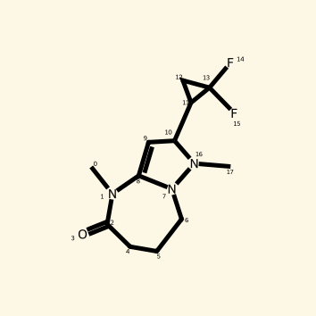 CN1C(=O)CCCN2C1=CC(C1CC1(F)F)N2C